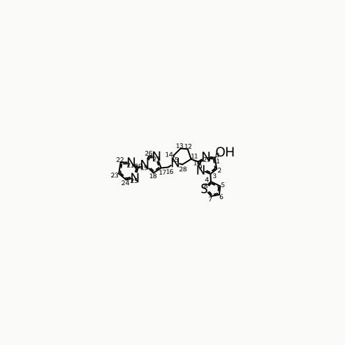 Oc1cc(-c2cccs2)nc(C2CCCN(Cc3cn(-c4ncccn4)cn3)C2)n1